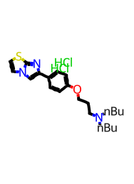 CCCCN(CCCC)CCCOc1ccc(-c2cn3ccsc3n2)cc1.Cl.Cl